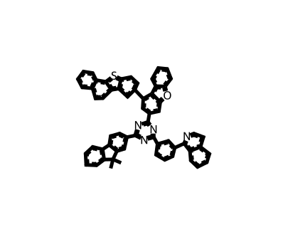 CC1(C)c2ccccc2-c2ccc(-c3nc(-c4cccc(-c5nccc6ccccc56)c4)nc(-c4cc(-c5ccc6sc7c8ccccc8ccc7c6c5)c5c(c4)oc4ccccc45)n3)cc21